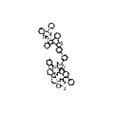 C=C/C=C\c1c(C)n(-c2ccccc2)c2c1ccc1c3ccccc3n(-c3nc(-c4ccc(-c5ccccc5)cc4)nc(-c4cccc(-c5ccc6c(c5)sc5c7ccccc7c7c(c8ccccc8n7-c7nc(-c8ccccc8)c8ccccc8n7)c65)c4)n3)c12